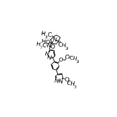 COCOc1cc(-c2cnnc(OC)c2)ccc1-c1ccc(N(C)[C@H]2CC3(C)CC[C@](C)(C2)N3C(=O)O)nn1